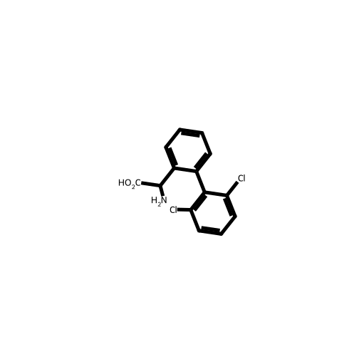 NC(C(=O)O)c1ccccc1-c1c(Cl)cccc1Cl